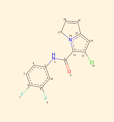 O=C(Nc1ccc(F)c(F)c1)c1c(Cl)cc2n1CC=C2